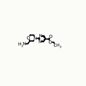 CCOC(=O)c1cnc(N2CCOC(CN)C2)nc1